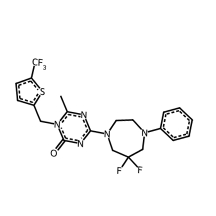 Cc1nc(N2CCN(c3ccccc3)CC(F)(F)C2)nc(=O)n1Cc1ccc(C(F)(F)F)s1